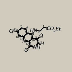 CCOC(=O)CCNc1c2ccc(Cl)cc2nc2c(=O)[nH][nH]c(=O)c12